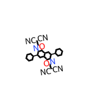 N#CC(C#N)=c1nc2c(-c3ccccc3)cc3c(cc(-c4ccccc4)c4nc(=C(C#N)C#N)oc43)c2o1